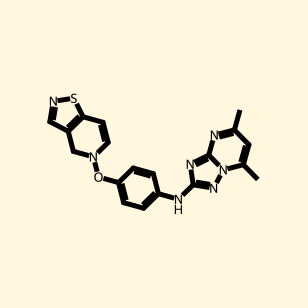 Cc1cc(C)n2nc(Nc3ccc(ON4C=Cc5sncc5C4)cc3)nc2n1